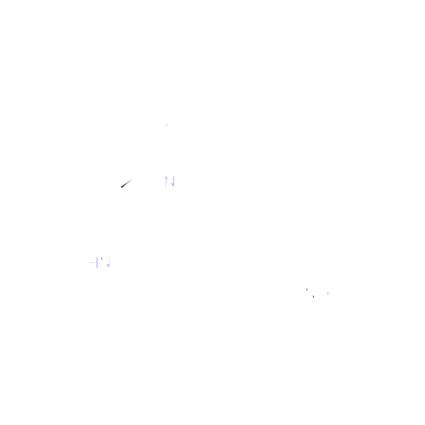 C[C@H]1COCCN1c1cc(-c2ccc([N+](=O)[O-])cc2)cc2c1CCNC2